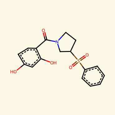 O=C(c1ccc(O)cc1O)N1CCC(S(=O)(=O)c2ccccc2)C1